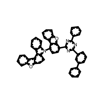 c1ccc(-c2cccc(-c3nc(-c4ccccc4)nc(-c4ccc(-n5c6ccccc6c6c7c(ccc65)oc5ccccc57)c5c4oc4ccccc45)n3)c2)cc1